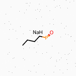 CCCCP=O.[NaH]